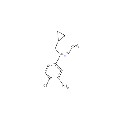 C/C=C(\CC1CC1)c1ccc(Cl)c(N)c1